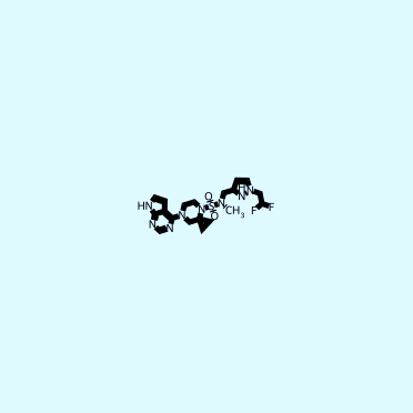 CN(CC1C=CN(CC(F)F)N1)S(=O)(=O)N1CCN(c2ncnc3[nH]ccc23)CC12CC2